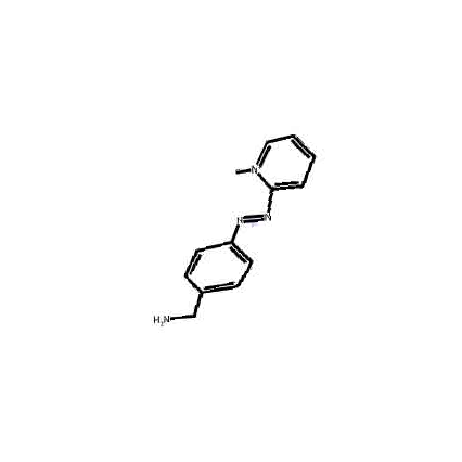 C[n+]1ccccc1/N=N/c1ccc(CN)cc1